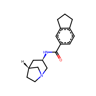 O=C(N[C@@H]1C[C@H]2CCN(C2)C1)c1ccc2c(c1)CCC2